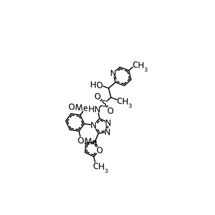 COc1cccc(OC)c1-n1c(NS(=O)(=O)C(C)C(O)c2ccc(C)cn2)nnc1-c1ccc(C)o1